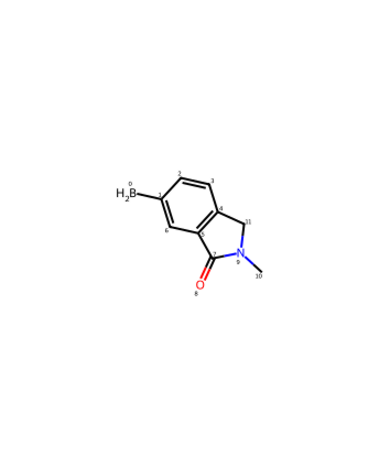 Bc1ccc2c(c1)C(=O)N(C)C2